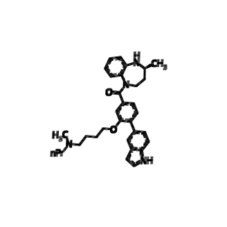 CCCN(C)CCCCOc1cc(C(=O)N2CC[C@H](C)Nc3ccccc32)ccc1-c1ccc2[nH]ccc2c1